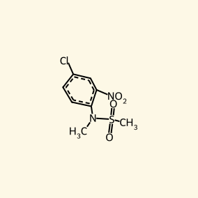 CN(c1ccc(Cl)cc1[N+](=O)[O-])S(C)(=O)=O